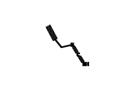 C#CCN=C=N